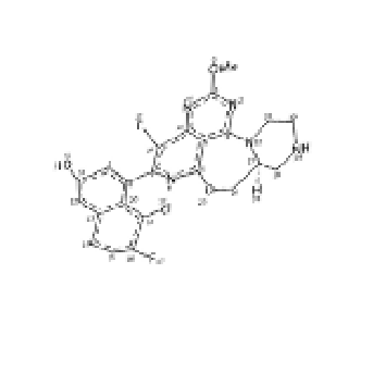 COc1nc2c3c(nc(-c4cc(O)cc5ccc(F)c(Cl)c45)c(F)c3n1)OC[C@@H]1CNCCN21